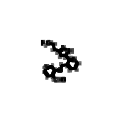 O=Cc1ccncc1OCc1cccnc1-c1cc(CCC(F)(F)F)n[nH]1